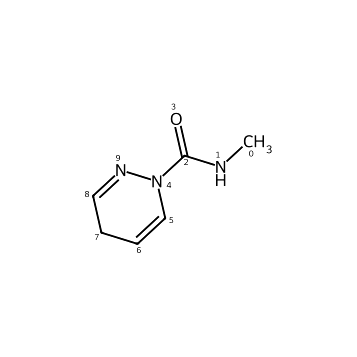 CNC(=O)N1C=CCC=N1